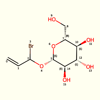 C=CC(Br)O[C@@H]1O[C@H](CO)[C@@H](O)[C@H](O)[C@H]1O